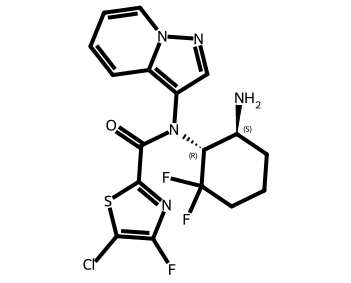 N[C@H]1CCCC(F)(F)[C@@H]1N(C(=O)c1nc(F)c(Cl)s1)c1cnn2ccccc12